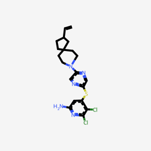 C=CC1CCC2(CCN(c3cnc(Sc4cc(N)nc(Cl)c4Cl)cn3)CC2)C1